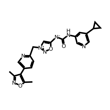 Cc1noc(C)c1-c1ccc(C[n+]2cc([N-]C(=O)Nc3cncc(C4CC4)c3)on2)nc1